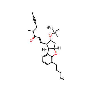 CC#CC[C@H](C)C(=O)/C=C/[C@@H]1[C@H]2c3cccc(CCCC(C)=O)c3O[C@H]2C[C@H]1O[Si](C)(C)C(C)(C)C